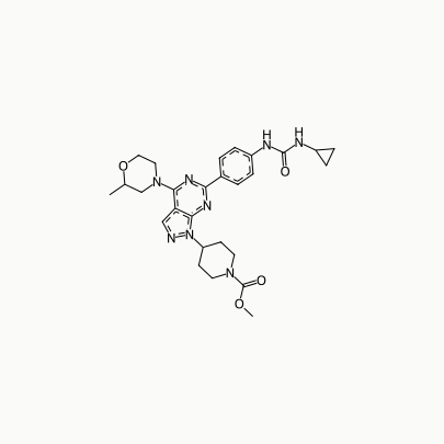 COC(=O)N1CCC(n2ncc3c(N4CCOC(C)C4)nc(-c4ccc(NC(=O)NC5CC5)cc4)nc32)CC1